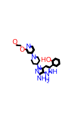 Nc1nn(C2CCN(c3ccnc(OCC=O)c3)CC2)c2c1NNC(c1ccccc1O)=C2